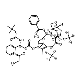 [2H]C([2H])([2H])O[C@H]1C(=O)[C@]2(C)[C@@H](OC([2H])([2H])[2H])C[C@H]3OC[C@@]3(OC(C)=O)[C@H]2[C@H](OC(=O)c2ccccc2)[C@]2(O)C[C@H](OC(=O)[C@H](OC(=O)CN)[C@@H](NC(=O)OC(C)(C)C)c3ccccc3)C(C)=C1C2(C)C